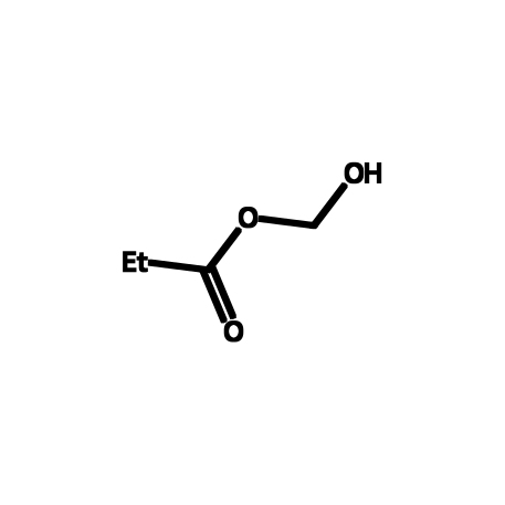 CCC(=O)OCO